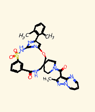 Cc1cccc(C)c1-c1cc2nc(n1)NS(=O)(=O)c1cccc(c1)C(=O)NCC1(CCN(C(=O)c3c(C)nn4cccnc34)CC1)CO2